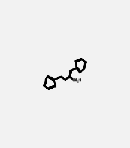 O=C(O)/C(=C\c1ccccc1)CCc1ccccc1